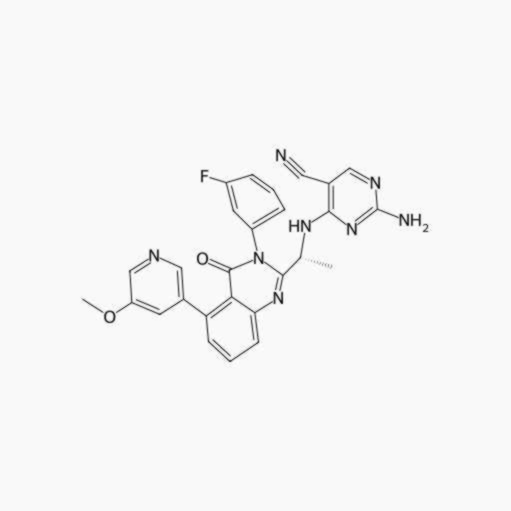 COc1cncc(-c2cccc3nc([C@@H](C)Nc4nc(N)ncc4C#N)n(-c4cccc(F)c4)c(=O)c23)c1